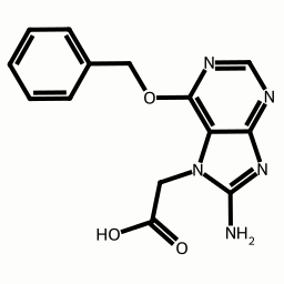 Nc1nc2ncnc(OCc3ccccc3)c2n1CC(=O)O